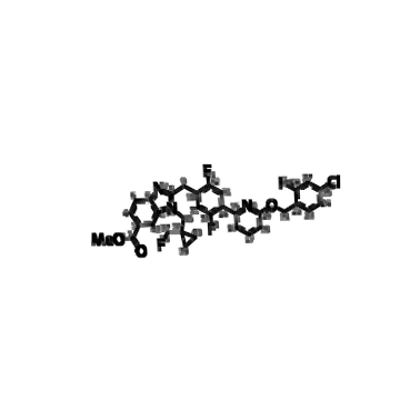 COC(=O)c1ccc2nc(Cc3cc(F)c(-c4cccc(OCc5ccc(Cl)cc5F)n4)cc3F)n(CC3(CF)CC3)c2c1